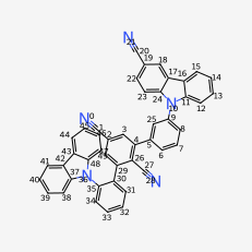 N#Cc1cc(-c2cccc(-n3c4ccccc4c4cc(C#N)ccc43)c2)c(C#N)c(-c2ccccc2-n2c3ccccc3c3ccccc32)c1